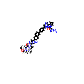 COC(=O)N[C@H](C(=O)N1CCC[C@H]1c1ncc(-c2ccc3cc(-c4ccc(-c5cnc(C6CCCN6C(=O)CN)[nH]5)cc4)ccc3c2)[nH]1)C(C)C